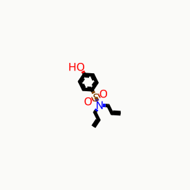 C=CCN(CC=C)S(=O)(=O)c1ccc(O)cc1